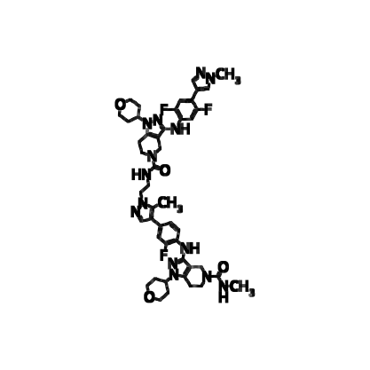 CNC(=O)N1CCc2c(c(Nc3ccc(-c4cnn(CCNC(=O)N5CCc6c(c(Nc7cc(F)c(-c8cnn(C)c8)cc7F)nn6C6CCOCC6)C5)c4C)cc3F)nn2C2CCOCC2)C1